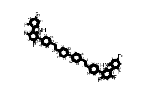 Fc1cc(F)c2c(c1)[nH]c1c(-c3ccc(C=Cc4ccc(-c5ccc(C=Cc6ccc(-c7c(F)cc(F)c8c7[nH]c7cc(F)cc(F)c78)cc6)cc5)cc4)cc3)c(F)cc(F)c12